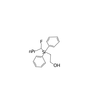 CCCC(F)[Si](CCO)(c1ccccc1)c1ccccc1